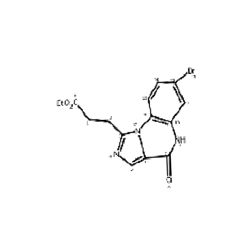 CCOC(=O)CCc1ncc2c(=O)[nH]c3cc(Br)ccc3n12